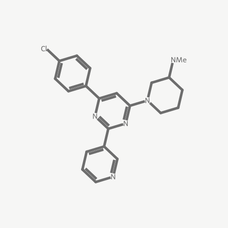 CNC1CCCN(c2cc(-c3ccc(Cl)cc3)nc(-c3cccnc3)n2)C1